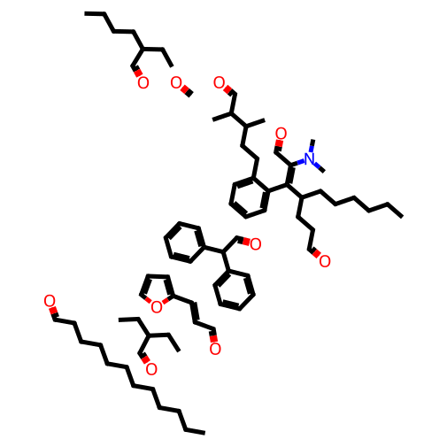 C=O.CCC(C=O)CC.CCCCC(C=O)CC.CCCCCCC(CCC=O)C(=C(C=O)N(C)C)c1ccccc1CCC(C)C(C)C=O.CCCCCCCCCCCC=O.O=CC(c1ccccc1)c1ccccc1.O=CC=Cc1ccco1